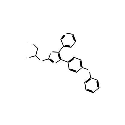 CC(C)C(CC(=O)O)Nc1nc(-c2ccc(Oc3ccccc3)cc2)c(-c2cccnc2)s1